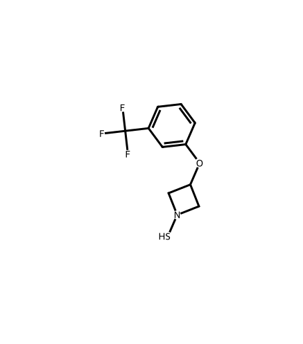 FC(F)(F)c1cccc(OC2CN(S)C2)c1